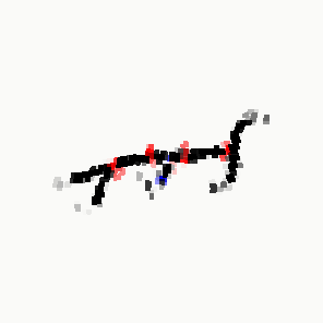 CCCCCCCCC(CCCCCCCC)OC(=O)CCCCCCC(=O)OCCCN(CCCOC(=O)CCCCCCC(=O)OC(CCCCCCCC)CCCCCCCC)C(=O)CCN(CC)CC